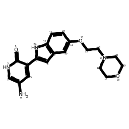 Nc1c[nH]c(=O)c(-c2cc3cc(OCCN4CCOCC4)ccc3[nH]2)c1